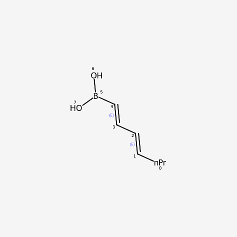 CCC/C=C/C=C/B(O)O